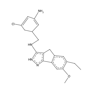 CCc1cc2c(cc1OC)-c1n[nH]c(NCC3C=C(N)C=C(Cl)C3)c1C2